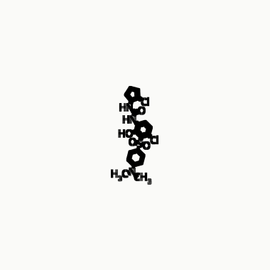 CN(C)[C@H]1CC[C@@H](S(=O)(=O)c2c(Cl)ccc(NC(=O)NC3CCC=C3Cl)c2O)CC1